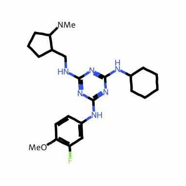 CNC1CCCC1CNc1nc(Nc2ccc(OC)c(F)c2)nc(NC2CCCCC2)n1